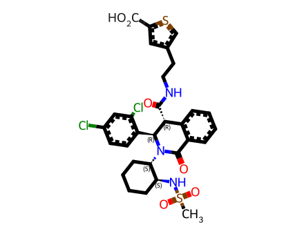 CS(=O)(=O)N[C@H]1CCCC[C@@H]1N1C(=O)c2ccccc2[C@@H](C(=O)NCCc2csc(C(=O)O)c2)[C@@H]1c1ccc(Cl)cc1Cl